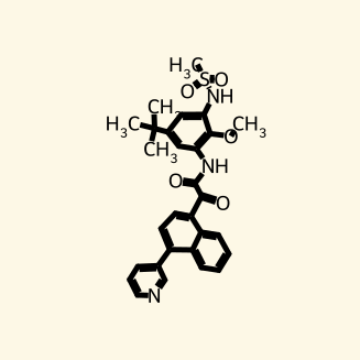 COc1c(NC(=O)C(=O)c2ccc(-c3cccnc3)c3ccccc23)cc(C(C)(C)C)cc1NS(C)(=O)=O